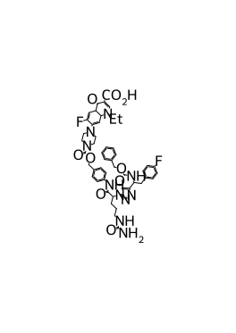 CCN1C=C(C(=O)O)C(=O)C2C=C(F)C(N3CCN(C(=O)OCc4ccc(NC(=O)C(CCCNC(N)=O)n5cc(C(Cc6ccc(F)cc6)NC(=O)OCc6ccccc6)nn5)cc4)CC3)=CC21